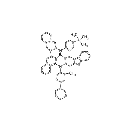 Cc1cc(-c2ccccc2)ccc1N1c2cc3sc4ccccc4c3cc2B2c3c(cc4ccccc4c31)-c1cc3ccccc3cc1N2c1ccc(C(C)(C)C)cc1